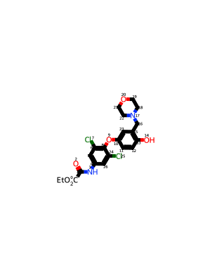 CCOC(=O)C(=O)Nc1cc(Cl)c(Oc2ccc(O)c(CN3CCOCC3)c2)c(Cl)c1